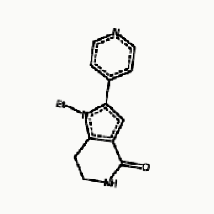 CCn1c(-c2ccncc2)cc2c1CCNC2=O